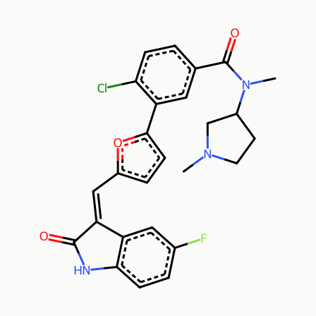 CN1CCC(N(C)C(=O)c2ccc(Cl)c(-c3ccc(/C=C4/C(=O)Nc5ccc(F)cc54)o3)c2)C1